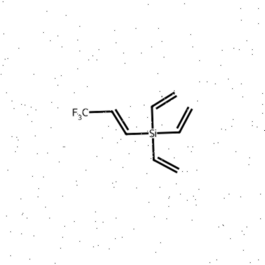 C=C[Si](C=C)(C=C)C=CC(F)(F)F